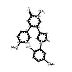 COc1ccc(C#N)c(-n2cc(-c3cn(C)c(=O)cc3-c3ccc(OC)nc3)cn2)c1